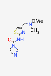 CON(C)Cc1csc(NC(=O)N2C=NCC2)n1